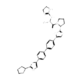 CC(C)[C@@H](NC1=NCCN1)C(=O)N1CCC[C@H]1c1ncc(-c2ccc(-c3ccc(-c4cnc(C5CCCC5)[nH]4)cc3)cc2)[nH]1